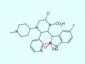 CCOc1ncccc1C1C(C2C(=O)Nc3ccc(F)cc32)N(C(=O)O)C(Cl)CN1C1CCN(C)CC1